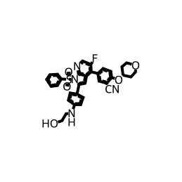 N#Cc1cc(-c2c(F)cnc3c2cc(-c2ccc(NCCO)cc2)n3S(=O)(=O)c2ccccc2)ccc1OC1CCOCC1